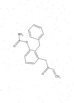 C=CC(=O)Cc1cccc(OC(N)=O)c1Cc1ccccc1